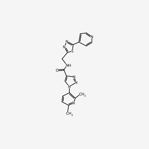 Cc1ccc(-n2cc(C(=O)NCc3nnc(-c4ccncc4)s3)nn2)c(C)n1